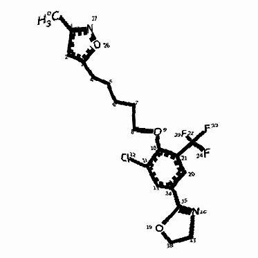 Cc1cc(CCCCCOc2c(Cl)cc(C3=NCCO3)cc2C(F)(F)F)on1